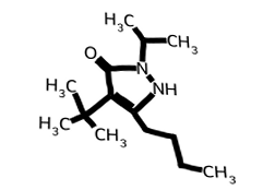 CCCCc1[nH]n(C(C)C)c(=O)c1C(C)(C)C